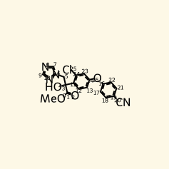 COC(=O)C(O)(Cn1cncn1)c1ccc(Oc2ccc(C#N)cc2)cc1Cl